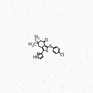 CC1(C)CC(=O)c2c(Sc3ccc(Cl)cc3)sc(-c3cc[nH]n3)c2C1